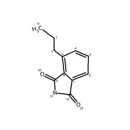 CCCc1cccc2c1C(=O)[N]C2=O